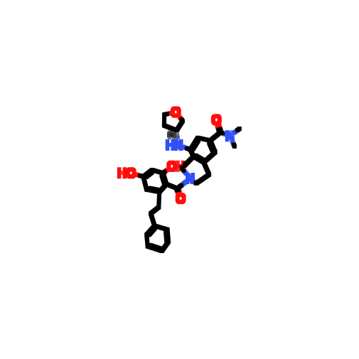 CN(C)C(=O)c1cc2c(c(N[C@@H]3CCOC3)c1)CN(C(=O)c1c(O)cc(O)cc1CCc1ccccc1)CC2